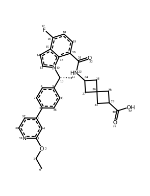 CCOc1cc(-c2ccc([C@@H](C)n3ccc4c(F)ccc(C(=O)NC5CC6(C5)CC(C(=O)O)C6)c43)cc2)ccn1